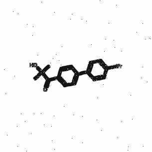 CC(C)c1ccc(-c2ccc(C(=O)C(C)(C)O)cc2)cc1